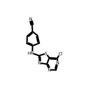 N#Cc1ccc(Nc2nc3ncnc(Cl)c3s2)cc1